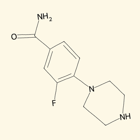 NC(=O)c1ccc(N2CCNCC2)c(F)c1